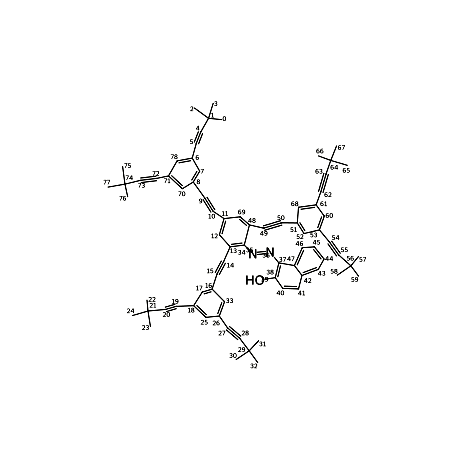 CC(C)(C)C#Cc1cc(C#Cc2cc(C#Cc3cc(C#CC(C)(C)C)cc(C#CC(C)(C)C)c3)c(/N=N/c3c(O)ccc4ccccc34)c(C#Cc3cc(C#CC(C)(C)C)cc(C#CC(C)(C)C)c3)c2)cc(C#CC(C)(C)C)c1